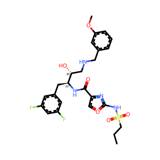 CCCS(=O)(=O)Nc1nc(C(=O)N[C@@H](Cc2cc(F)cc(F)c2)[C@H](O)CNCc2cccc(OC)c2)co1